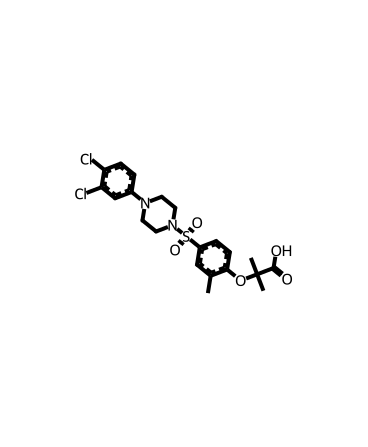 Cc1cc(S(=O)(=O)N2CCN(c3ccc(Cl)c(Cl)c3)CC2)ccc1OC(C)(C)C(=O)O